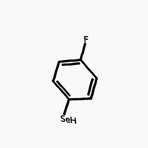 Fc1ccc([SeH])cc1